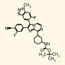 Cn1nnc2cc(-c3c(-c4ccc(C#N)c(F)c4)nc4c(N5CCCC(NC(=O)OC(C)(C)C)C5)nccn34)c(F)cc21